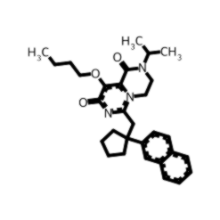 CCCCOc1c2n(c(CC3(c4ccc5ccccc5c4)CCCC3)nc1=O)CCN(C(C)C)C2=O